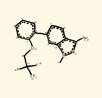 Cn1nc(N)c2ccc(-c3ccccc3OCC(F)(F)C(F)(F)F)cc21